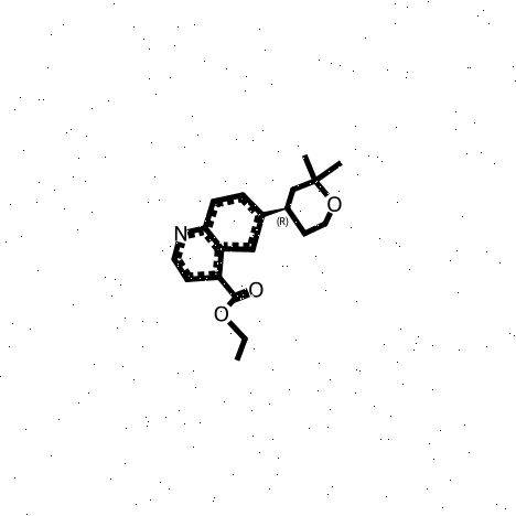 CCOC(=O)c1ccnc2ccc([C@@H]3CCOC(C)(C)C3)cc12